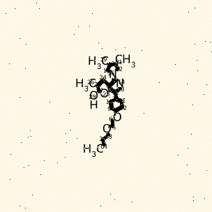 CCCCOCCOc1ccc(-c2cnc(N3CC(C)C(C)C3)c(C=C(C)C(=O)O)c2)cc1